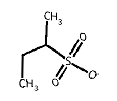 CCC(C)S([O])(=O)=O